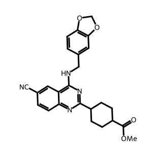 COC(=O)C1CCC(c2nc(NCc3ccc4c(c3)OCO4)c3cc(C#N)ccc3n2)CC1